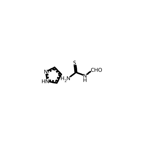 NC(=S)NC=O.c1cn[nH]c1